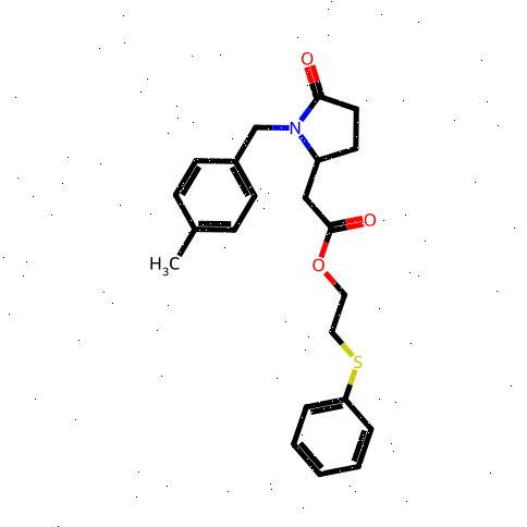 Cc1ccc(CN2C(=O)CCC2CC(=O)OCCSc2ccccc2)cc1